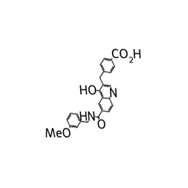 COc1cccc(CNC(=O)c2ccc3ncc(Cc4ccc(C(=O)O)cc4)c(O)c3c2)c1